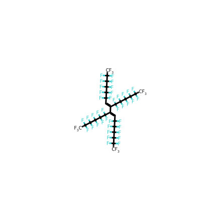 FC(F)(F)C(F)(F)C(F)(F)C(F)(F)C(F)(F)C(F)(F)C=C(C(=CC(F)(F)C(F)(F)C(F)(F)C(F)(F)C(F)(F)C(F)(F)F)C(F)(F)C(F)(F)C(F)(F)C(F)(F)C(F)(F)C(F)(F)F)C(F)(F)C(F)(F)C(F)(F)C(F)(F)C(F)(F)C(F)(F)F